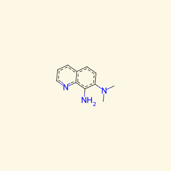 CN(C)c1ccc2cccnc2c1N